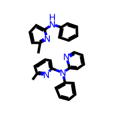 Cc1cccc(N(c2ccccc2)c2ccccn2)n1.Cc1cccc(Nc2ccccc2)n1